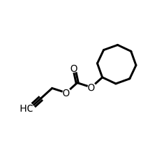 C#CCOC(=O)OC1CCCCCCC1